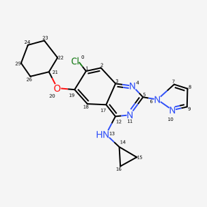 Clc1cc2nc(-n3cccn3)nc(NC3CC3)c2cc1OC1CCCCC1